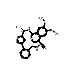 CNCc1ccccc1-c1csc([C@@H](C)Nc2ncc(C#N)c3cc(OC)c(OC)cc23)c1